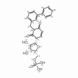 O=c1ccn([C@@H]2O[C@H](COP(=O)(O)O)[C@H](O)[C@@H]2O)c(=O)n1Cc1cc(-c2ccncc2)ccn1